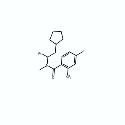 CC(C)C(CN1CCCC1)N(C)C(=O)c1ccc(F)cc1C(F)(F)F